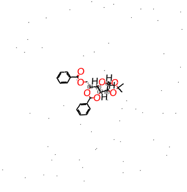 CC1(C)O[C@H]2O[C@H]3[C@H](OC(c4ccccc4)O[C@@H]3COC(=O)c3ccccc3)[C@H]2O1